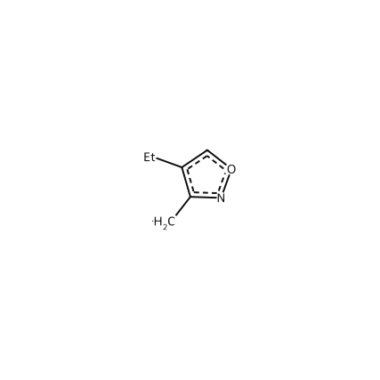 [CH2]c1nocc1CC